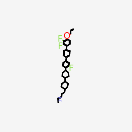 C=CCOc1ccc(-c2ccc(-c3ccc(C4CCC(C5CCC(CC/C=C/C)CC5)CC4)c(F)c3)cc2)c(F)c1F